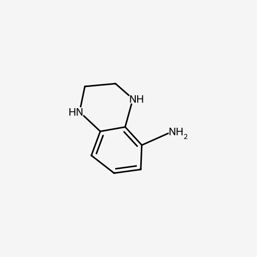 Nc1cccc2c1NCCN2